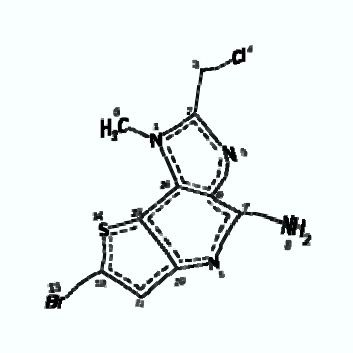 Cn1c(CCl)nc2c(N)nc3cc(Br)sc3c21